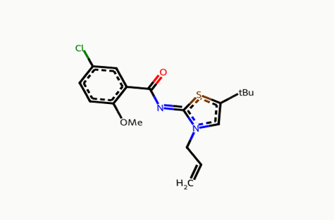 C=CCn1cc(C(C)(C)C)sc1=NC(=O)c1cc(Cl)ccc1OC